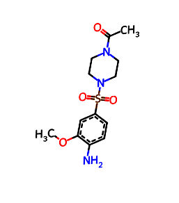 COc1cc(S(=O)(=O)N2CCN(C(C)=O)CC2)ccc1N